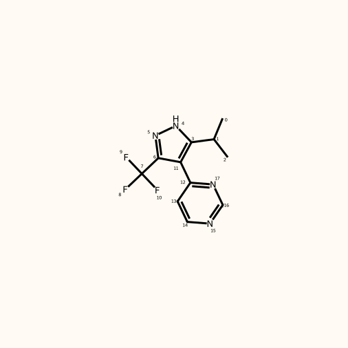 CC(C)c1[nH]nc(C(F)(F)F)c1-c1ccn[c]n1